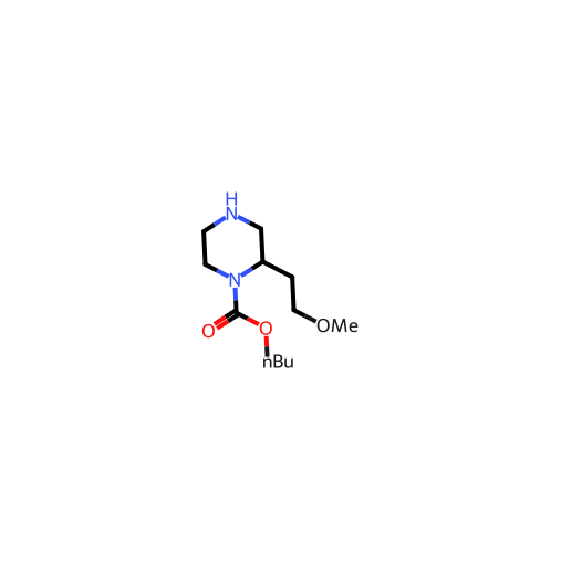 CCCCOC(=O)N1CCNCC1CCOC